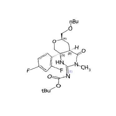 CCCCOC[C@H]1C[C@H]2C(=O)N(C)/C(=N/C(=O)OC(C)(C)C)N[C@@]2(c2ccc(F)cc2F)CO1